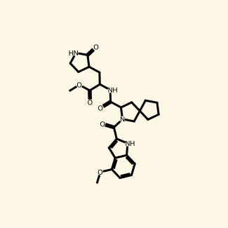 COC(=O)C(CC1CCNC1=O)NC(=O)C1CC2(CCCC2)CN1C(=O)c1cc2c(OC)cccc2[nH]1